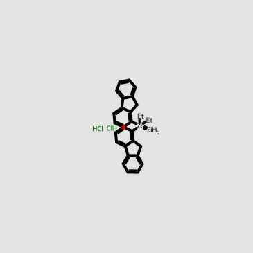 C[CH2][Zr](=[SiH2])([CH2]C)([c]1cccc2c1Cc1ccccc1-2)[c]1cccc2c1Cc1ccccc1-2.Cl.Cl